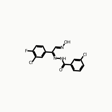 O=C(N/N=C(\C=N\O)c1ccc(F)c(Cl)c1)c1cccc(Cl)c1